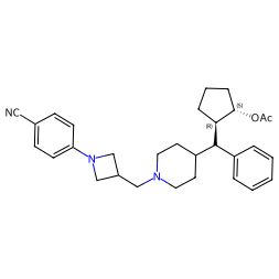 CC(=O)O[C@H]1CCC[C@@H]1C(c1ccccc1)C1CCN(CC2CN(c3ccc(C#N)cc3)C2)CC1